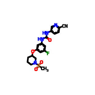 CS(=O)(=O)N1CCCC(Oc2cc(F)cc(NC(=O)Nc3ccc(C#N)nc3)c2)C1